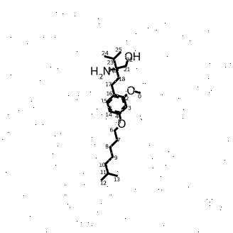 COc1cc(OCCCCCC(C)C)ccc1CC[C@@](N)(CO)C(C)C